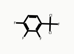 Fc1ccc(C(F)(Cl)Cl)c(F)c1F